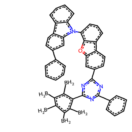 Bc1c(B)c(B)c(-c2nc(-c3ccccc3)nc(-c3ccc4c(c3)oc3c(-n5c6ccccc6c6ccc(-c7ccccc7)cc65)cccc34)n2)c(B)c1B